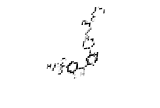 CCOC(=O)CCN1CCN(c2cc(Nc3ccc(S(C)(=O)=O)cc3F)ncn2)CC1